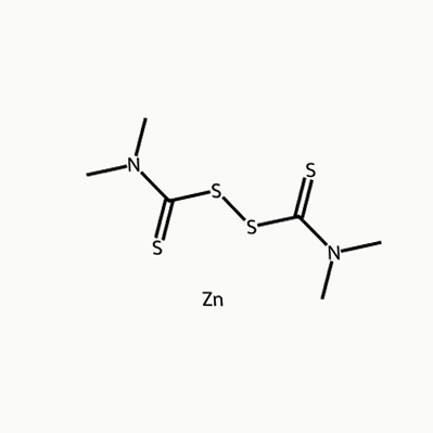 CN(C)C(=S)SSC(=S)N(C)C.[Zn]